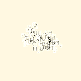 BB(CC)Cn1nc2c(NN3CCC[C@H]3C=O)nn(N3CCC[C@H]3C=O)c(=O)c2c1CB(CB(B)B(B)B)B(B)B